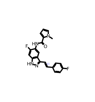 Cn1cccc1C(=O)Nc1cc2c(/C=C/c3ccc(F)cc3)n[nH]c2cc1F